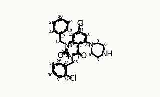 O=c1c2c(N3CCNCC3)cc(Cl)cc2n(Cc2ccccc2)c(=O)n1Cc1ccccc1Cl